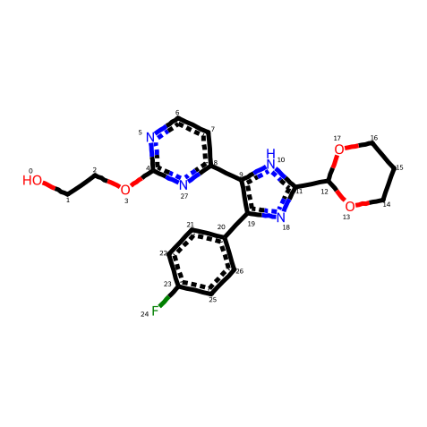 OCCOc1nccc(-c2[nH]c(C3OCCCO3)nc2-c2ccc(F)cc2)n1